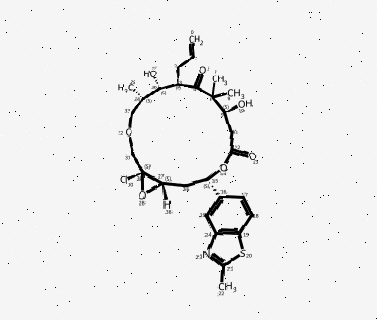 C=CC[C@H]1C(=O)C(C)(C)[C@@H](O)CC(=O)O[C@H](c2ccc3sc(C)nc3c2)C[C@@H]2O[C@]2(Cl)COC[C@H](C)[C@@H]1O